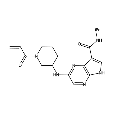 C=CC(=O)N1CCCC(Nc2cnc3[nH]cc(C(=O)NC(C)C)c3n2)C1